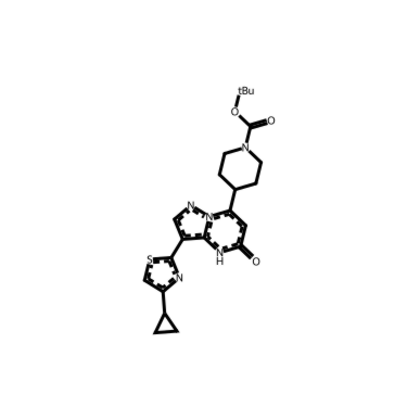 CC(C)(C)OC(=O)N1CCC(c2cc(=O)[nH]c3c(-c4nc(C5CC5)cs4)cnn23)CC1